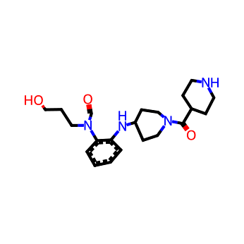 O=CN(CCCO)c1ccccc1NC1CCN(C(=O)C2CCNCC2)CC1